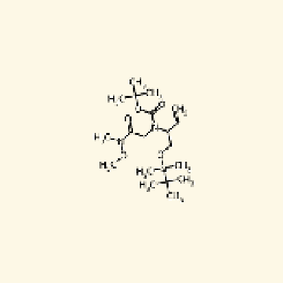 C=CC(CO[Si](C)(C)C(C)(C)C)N(CC(=O)N(C)OC)C(=O)OC(C)(C)C